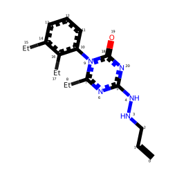 C=CCNNc1nc(CC)n(-c2cccc(CC)c2CC)c(=O)n1